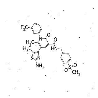 Cc1sc(N)nc1-c1cc(C(=O)NCc2ccc(S(C)(=O)=O)cc2)c(=O)n(-c2cccc(C(F)(F)F)c2)c1C